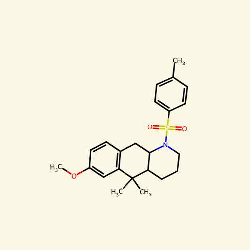 COc1ccc2c(c1)C(C)(C)C1CCCN(S(=O)(=O)c3ccc(C)cc3)C1C2